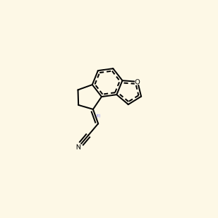 N#C/C=C1\CCc2ccc3occc3c21